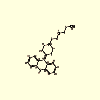 OCCOCCN1CCC(=C2c3ccccc3Sc3cccnc32)CC1